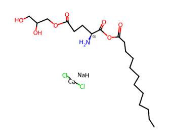 CCCCCCCCCCCC(=O)OC(=O)[C@@H](N)CCC(=O)OCC(O)CO.[Cl][Ca][Cl].[NaH]